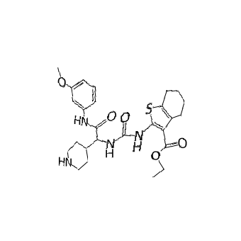 CCOC(=O)c1c(NC(=O)NC(C(=O)Nc2cccc(OC)c2)C2CCNCC2)sc2c1CCCC2